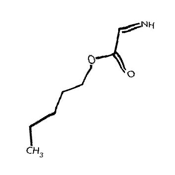 CCCCCOC(=O)C=N